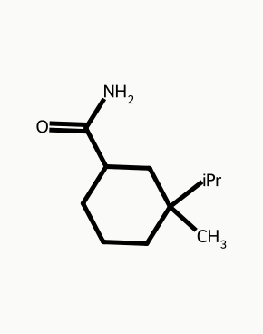 CC(C)C1(C)CCCC(C(N)=O)C1